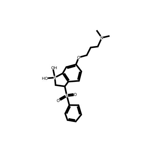 CN(C)CCCOc1ccc2c(c1)S(O)(O)CC2S(=O)(=O)c1ccccc1